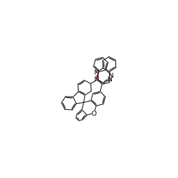 C1=CC(c2cnc3ccccc3n2)CC2=C1c1ccccc1C21c2ccccc2Oc2ccc(-c3cnc4ccccc4n3)cc21